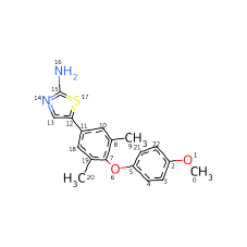 COc1ccc(Oc2c(C)cc(-c3cnc(N)s3)cc2C)cc1